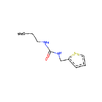 COCCNC(=O)NCc1cccs1